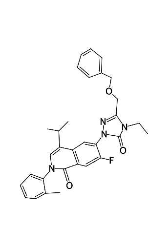 CCn1c(COCc2ccccc2)nn(-c2cc3c(C(C)C)cn(-c4ccccc4C)c(=O)c3cc2F)c1=O